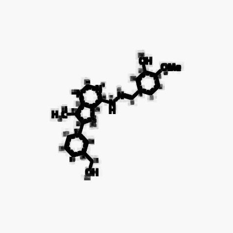 COc1ccc(C=NNc2ncnc3c(C)c(-c4cccc(CO)c4)sc23)cc1O